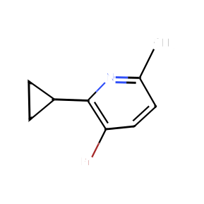 Cc1ccc(Br)c(C2CC2)n1